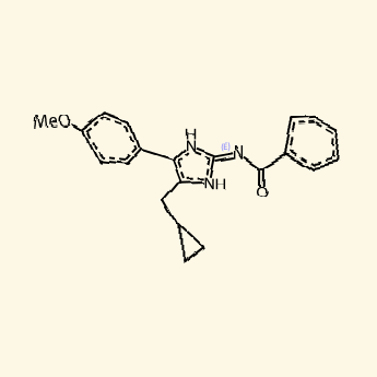 COc1ccc(-c2[nH]/c(=N/C(=O)c3ccccc3)[nH]c2CC2CC2)cc1